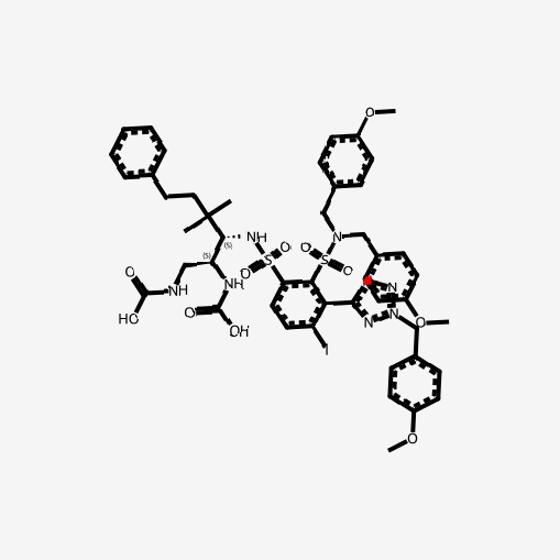 COc1ccc(CN(Cc2ccc(OC)cc2)S(=O)(=O)c2c(S(=O)(=O)N[C@H]([C@H](CNC(=O)O)NC(=O)O)C(C)(C)CCc3ccccc3)ccc(I)c2-c2nnn(Cc3ccc(OC)cc3)n2)cc1